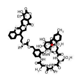 CC[C@@]1(O)C(=O)OCc2c1cc1n(c2=O)Cc2c-1nc1ccccc1c2CCN(C(=O)OCc1ccc(NC(=O)[C@H](C)NC(=O)[C@@H](NC(=O)[C@H](CS(=O)(=O)O)NC(=O)CCn2c(CN(C)NC)cc3cc(C)ccc32)C(C)C)c(O[C@@H]2O[C@H](C(=O)O)[C@@H](O)[C@H](O)[C@H]2O)c1)C(C)C